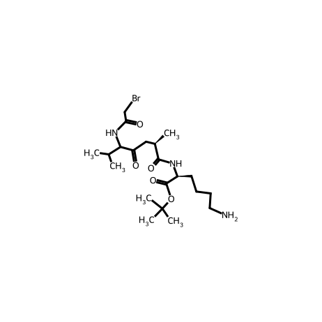 CC(C)C(NC(=O)CBr)C(=O)C[C@@H](C)C(=O)N[C@@H](CCCCN)C(=O)OC(C)(C)C